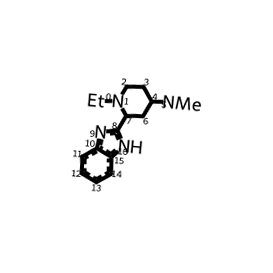 CCN1CCC(NC)CC1c1nc2ccccc2[nH]1